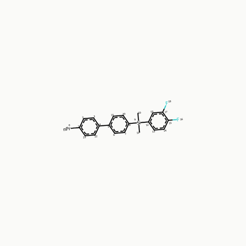 CCCc1ccc(-c2ccc([Si](C)(C)c3ccc(F)c(F)c3)cc2)cc1